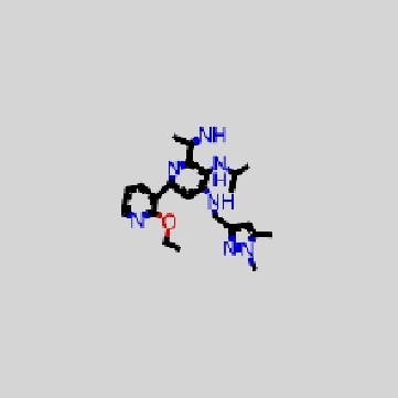 CCOc1ncccc1-c1cc(NCc2cc(C)n(C)n2)c(NC(C)C)c(C(C)=N)n1